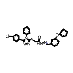 O=C(CSc1nnc(-c2ccc(Cl)cc2)n1-c1ccccc1)N/N=C/c1cccc(Oc2ccccc2)c1